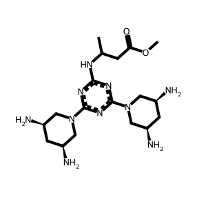 COC(=O)CC(C)Nc1nc(N2C[C@H](N)C[C@H](N)C2)nc(N2C[C@H](N)C[C@H](N)C2)n1